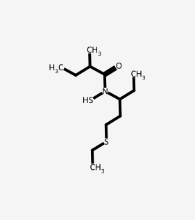 CCSCCC(CC)N(S)C(=O)C(C)CC